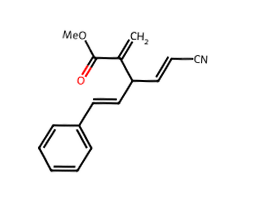 C=C(C(=O)OC)C(C=CC#N)C=Cc1ccccc1